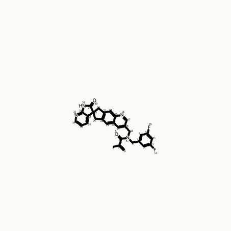 C=C(C)C(=O)N(Cc1cc(F)cc(F)c1)Cc1cnc2cc3c(cc2c1)CC1(C3)C(=O)Nc2ncccc21